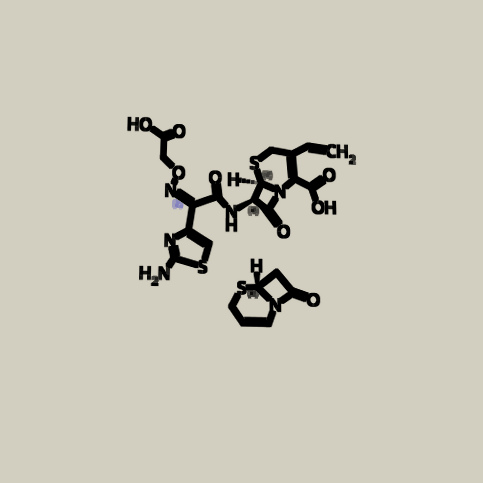 C=CC1=C(C(=O)O)N2C(=O)[C@@H](NC(=O)/C(=N\OCC(=O)O)c3csc(N)n3)[C@H]2SC1.O=C1C[C@H]2SCC=CN12